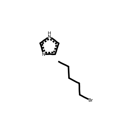 CCCCCBr.c1c[nH]cn1